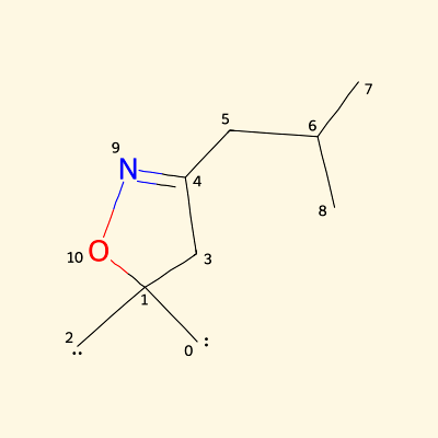 [CH]C1([CH])CC(CC(C)C)=NO1